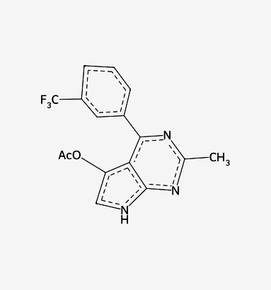 CC(=O)Oc1c[nH]c2nc(C)nc(-c3cccc(C(F)(F)F)c3)c12